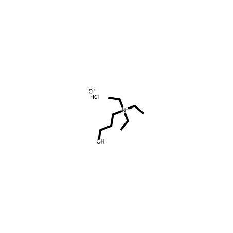 CC[N+](CC)(CC)CCCO.Cl.[Cl-]